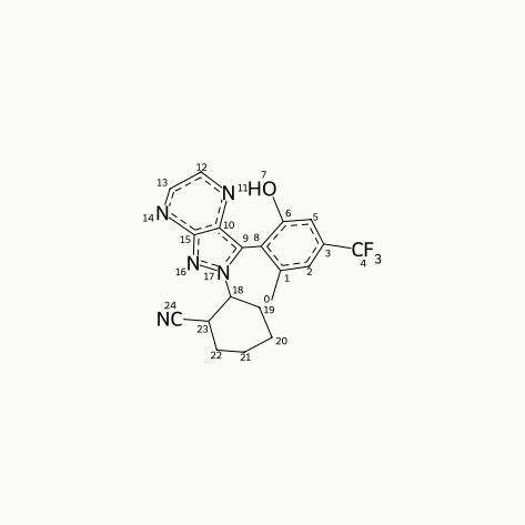 Cc1cc(C(F)(F)F)cc(O)c1-c1c2nccnc2nn1C1CCCCC1C#N